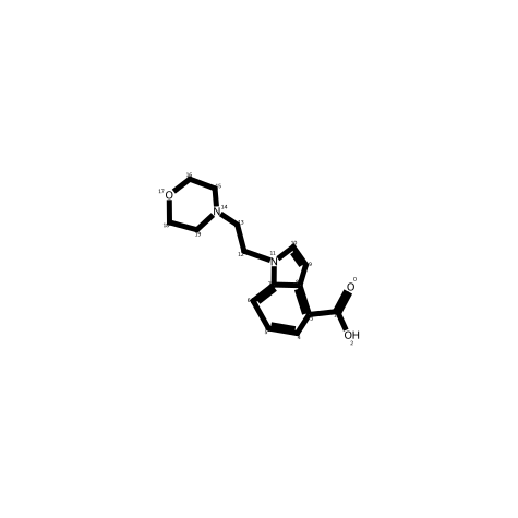 O=C(O)c1cccc2c1ccn2CCN1CCOCC1